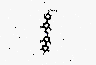 CCCCCC1CCC(c2cc(F)c(/C=C/c3cc(F)c(-c4cc(F)c(F)c(F)c4)c(F)c3)c(F)c2)=CO1